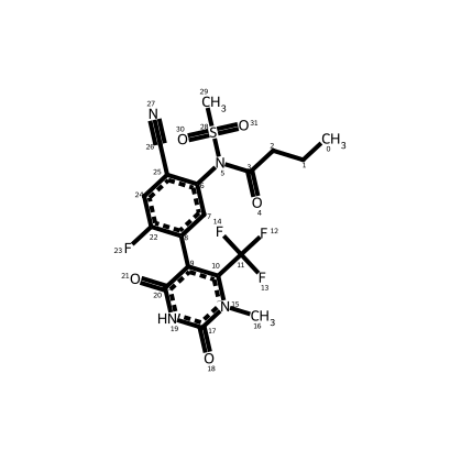 CCCC(=O)N(c1cc(-c2c(C(F)(F)F)n(C)c(=O)[nH]c2=O)c(F)cc1C#N)S(C)(=O)=O